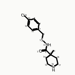 CC1(C(=O)NSCc2ccc(Cl)cc2)CCNCC1